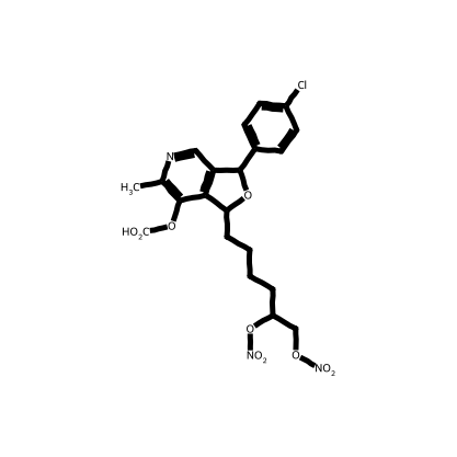 Cc1ncc2c(c1OC(=O)O)C(CCCCC(CO[N+](=O)[O-])O[N+](=O)[O-])OC2c1ccc(Cl)cc1